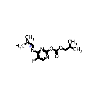 CC(C)COC(=O)Oc1ncc(F)c(/N=C/N(C)C)n1